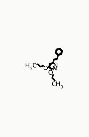 CCCCOc1cc(/C=C/c2ccccc2)nnc1OCCCC